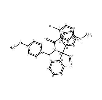 COc1ccc(CN(C(=O)c2cc(OC)ccc2F)C(P=O)(c2ccccc2)c2ccccc2)cc1